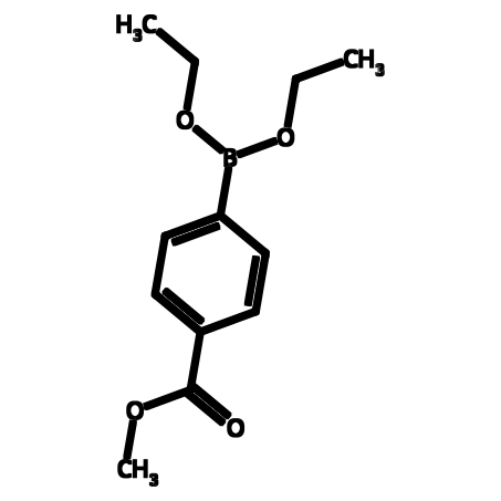 CCOB(OCC)c1ccc(C(=O)OC)cc1